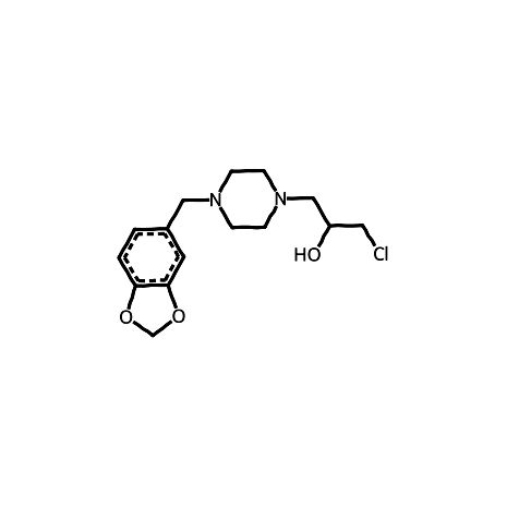 OC(CCl)CN1CCN(Cc2ccc3c(c2)OCO3)CC1